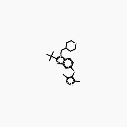 Cc1noc(C)c1Sc1ccc2c(c1)nc(C(C)(C)C)n2CC1CCOCC1